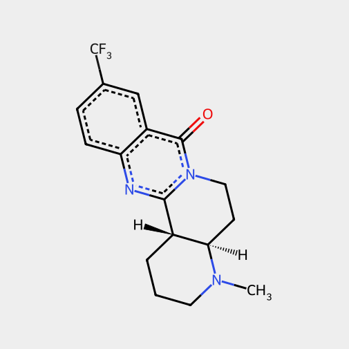 CN1CCC[C@@H]2c3nc4ccc(C(F)(F)F)cc4c(=O)n3CC[C@H]21